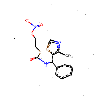 Cc1ncsc1C(NC(=O)SCCO[N+](=O)[O-])c1ccccc1